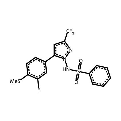 CSc1ccc(-c2cc(C(F)(F)F)nn2NS(=O)(=O)c2ccccc2)cc1F